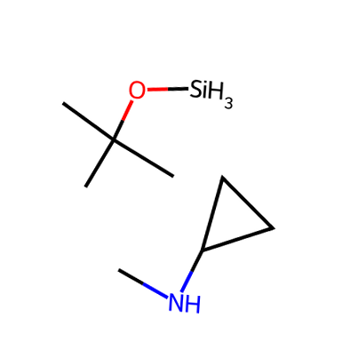 CC(C)(C)O[SiH3].CNC1CC1